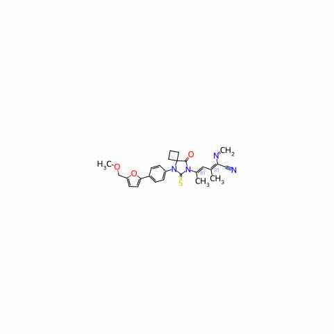 C=N/C(C#N)=C(C)\C=C(/C)N1C(=O)C2(CCC2)N(c2ccc(-c3ccc(COC)o3)cc2)C1=S